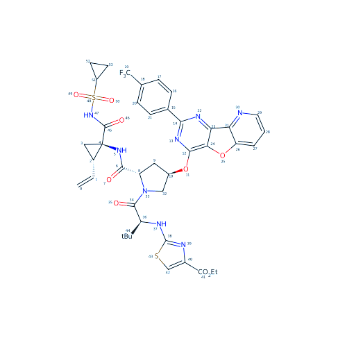 C=C[C@@H]1C[C@]1(NC(=O)[C@@H]1C[C@@H](Oc2nc(-c3ccc(C(F)(F)F)cc3)nc3c2oc2cccnc23)CN1C(=O)[C@@H](Nc1nc(C(=O)OCC)cs1)C(C)(C)C)C(=O)NS(=O)(=O)C1CC1